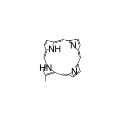 Cc1cc2cc3ccc(cc4nc(cc5nc(cc1[nH]2)C=C5)C=C4)[nH]3